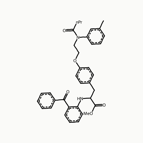 CCCC(=O)N(CCOc1ccc(CC(Nc2ccccc2C(=O)c2ccccc2)C(=O)OC)cc1)c1cccc(C)c1